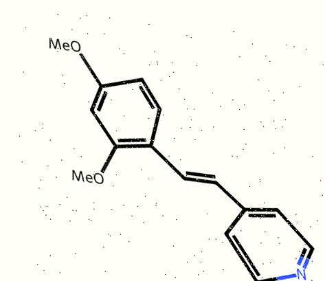 COc1ccc(/C=C/c2ccncc2)c(OC)c1